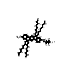 Bc1ccc2c(c1)C(CCCCCCCC)(CCCCCCCC)c1cc3c(cc1-2)C(CCCCCCCC)(CCCCCCCC)c1cc(BOC(C)(C)C(C)(C)O)ccc1-3